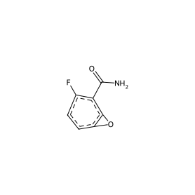 NC(=O)c1c(F)ccc2c1O2